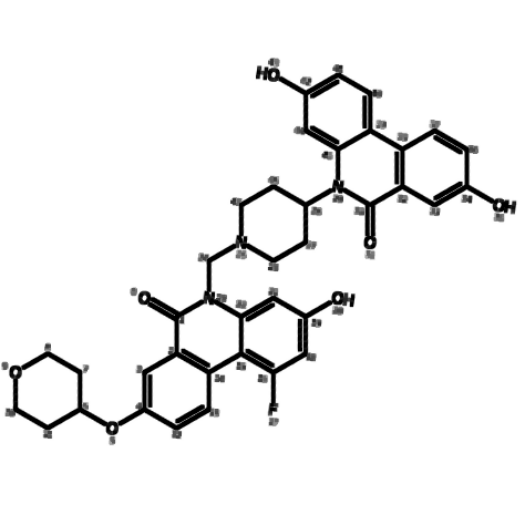 O=c1c2cc(OC3CCOCC3)ccc2c2c(F)cc(O)cc2n1CN1CCC(n2c(=O)c3cc(O)ccc3c3ccc(O)cc32)CC1